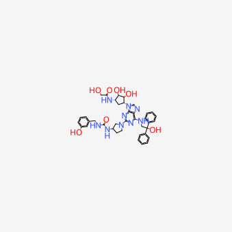 O=C(CO)N[C@H]1C[C@@H](n2cnc3c(NCC(O)(c4ccccc4)c4ccccc4)nc(N4CCC(NC(=O)NCc5cccc(O)c5)C4)nc32)[C@H](O)[C@@H]1O